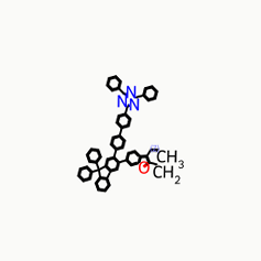 C=Cc1oc2cc(-c3cc4c(cc3-c3ccc(-c5ccc(-c6nc(-c7ccccc7)nc(-c7ccccc7)n6)cc5)cc3)C(c3ccccc3)(c3ccccc3)c3ccccc3-4)ccc2c1/C=C\C